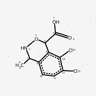 CC1NOC(C(=O)O)c2c1ccc(Cl)c2Cl